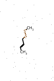 CC=CCSSC